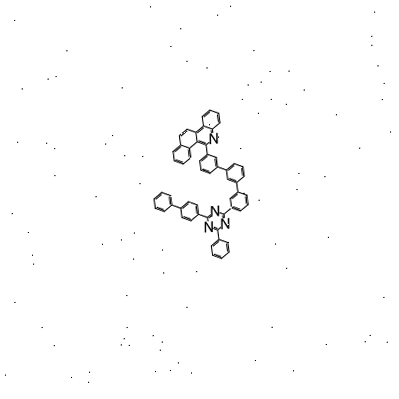 c1ccc(-c2ccc(-c3nc(-c4ccccc4)nc(-c4cccc(-c5cccc(-c6cccc(-c7nc8ccccc8c8ccc9ccccc9c78)c6)c5)c4)n3)cc2)cc1